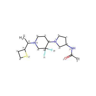 CCC(=O)NC1CCN(C2CCN(C(C)C3CCS3)CC2(F)F)C1